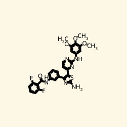 COc1cc(Nc2nccc(-c3sc(N)nc3-c3cccc(NC(=O)c4c(F)cccc4F)c3)n2)cc(OC)c1OC